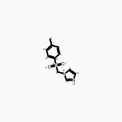 Cc1ccc(S(=O)(=O)[CH]n2ccnc2)cc1